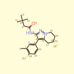 Cc1cc(-c2c(NC(=O)CC(C)(C)C)nn3c2C[C@@H](F)CC3)ccc1F